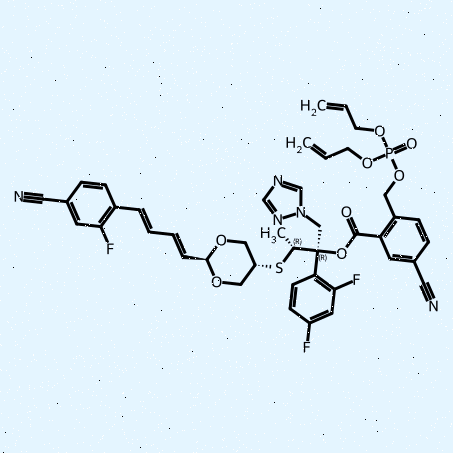 C=CCOP(=O)(OCC=C)OCc1ccc(C#N)cc1C(=O)O[C@@](Cn1cncn1)(c1ccc(F)cc1F)[C@@H](C)S[C@H]1CO[C@H](C=CC=Cc2ccc(C#N)cc2F)OC1